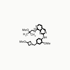 COc1cc(CN2CC(OC)C2)ccc1Nc1ncc2ccnc(NCC(C)(C)OC)c2n1